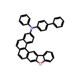 c1ccc(-c2ccc(N(c3ccccc3)c3ccc4c(ccc5ccc6cc7oc8ccccc8c7cc6c54)c3)cc2)cc1